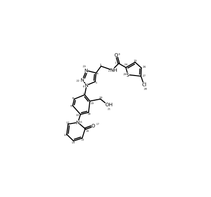 O=C(NCc1cn(-c2ccc(-n3ccccc3=O)cc2CO)nn1)c1ccc(Cl)s1